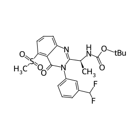 C[C@H](NC(=O)OC(C)(C)C)c1nc2cccc(S(C)(=O)=O)c2c(=O)n1-c1cccc(C(F)F)c1